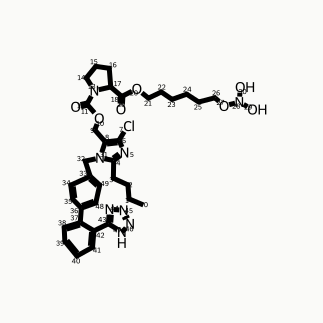 CCCCc1nc(Cl)c(COC(=O)N2CCCC2C(=O)OCCCCCCON(O)O)n1Cc1ccc(-c2ccccc2-c2nnn[nH]2)cc1